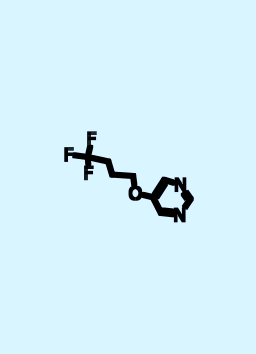 FC(F)(F)CCCOc1cncnc1